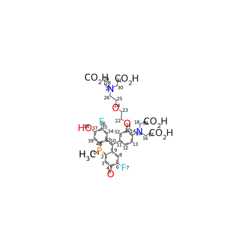 Cp1c2cc(=O)c(F)cc-2c(-c2ccc(N(CC(=O)O)CC(=O)O)c(OCCOCCN(CC(=O)O)CC(=O)O)c2)c2cc(F)c(O)cc21